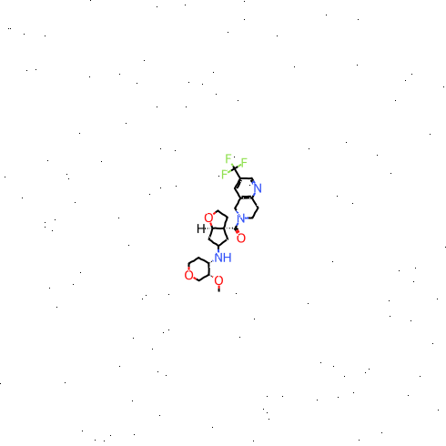 CO[C@@H]1COCC[C@@H]1NC1C[C@H]2OCC[C@@]2(C(=O)N2CCc3ncc(C(F)(F)F)cc3C2)C1